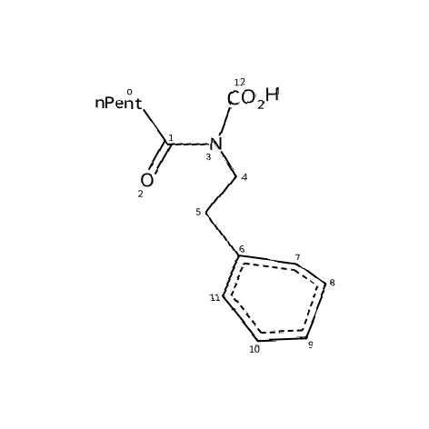 CCCCCC(=O)N(CCc1ccccc1)C(=O)O